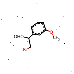 O=CC(CBr)c1cccc(OC(F)(F)F)c1